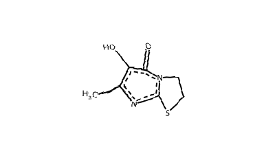 Cc1nc2n(c(=O)c1O)CCS2